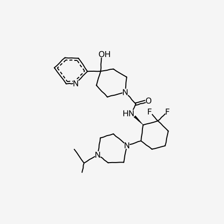 CC(C)N1CCN(C2CCCC(F)(F)[C@@H]2NC(=O)N2CCC(O)(c3ccccn3)CC2)CC1